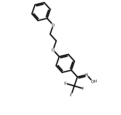 ON=C(c1ccc(OCCOc2ccccc2)cc1)C(F)(F)F